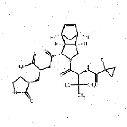 CC(C)(C)[C@H](NC(=O)C1(F)CC1)C(=O)N1C[C@H]2[C@@H]([C@H]1C(=O)N[C@@H](C[C@@H]1CCNC1=O)C(N)=O)[C@H]1C=C[C@@H]2C1